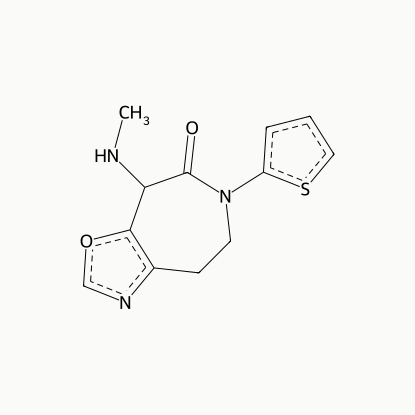 CNC1C(=O)N(c2cccs2)CCc2ncoc21